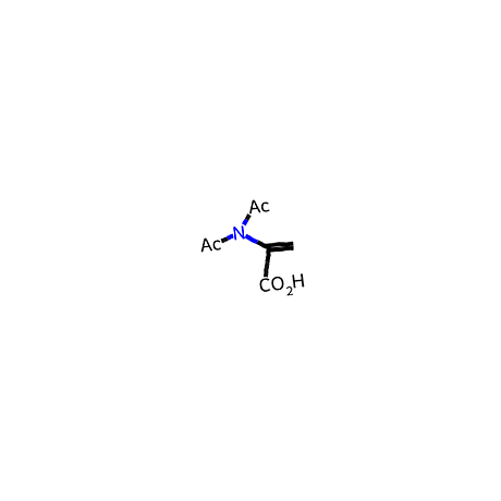 C=C(C(=O)O)N(C(C)=O)C(C)=O